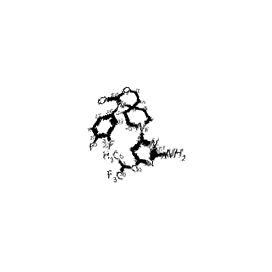 CC(Oc1cc(N2CCC3(CCOC(=O)N3c3ccc(F)c(F)c3)CC2)nc(N)n1)C(F)(F)F